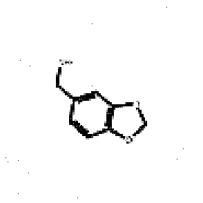 [NH]Cc1ccc2c(c1)OCO2